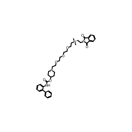 C[N+](C)(CCOCCOCCOCCN1CCC(OC(=O)Nc2ccccc2-c2ccccc2)CC1)CCN1C(=O)c2ccccc2C1=O